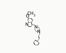 COc1ccc2c(CN3CCN(C/C=C/c4ccccc4)CC3)ccnc2c1